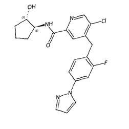 O=C(N[C@H]1CCC[C@@H]1O)c1cc(Cc2ccc(-n3cccn3)cc2F)c(Cl)cn1